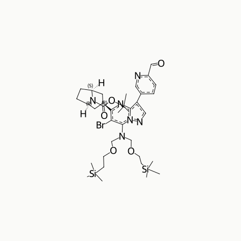 CC(C)(C)OC(=O)N1[C@@H]2CC[C@H]1C[C@@H](c1nc3c(-c4ccc(C=O)nc4)cnn3c(N(COCC[Si](C)(C)C)COCC[Si](C)(C)C)c1Br)C2